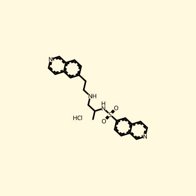 CC(CNCCc1ccc2cnccc2c1)NS(=O)(=O)c1ccc2cnccc2c1.Cl